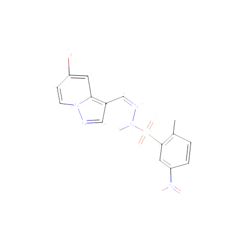 Cc1ccc([N+](=O)[O-])cc1S(=O)(=O)N(C)/N=C\c1cnn2ccc(O)cc12